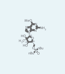 CCCCP(=O)(CCCC)OC[C@H]1O[C@@H](n2cnc3c(OC)nc(N)nc32)[C@](C)(O)[C@@H]1O